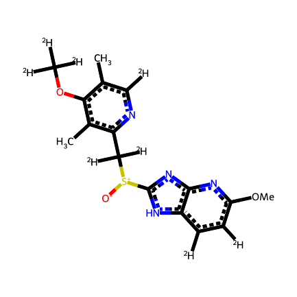 [2H]c1nc(C([2H])([2H])[S+]([O-])c2nc3nc(OC)c([2H])c([2H])c3[nH]2)c(C)c(OC([2H])([2H])[2H])c1C